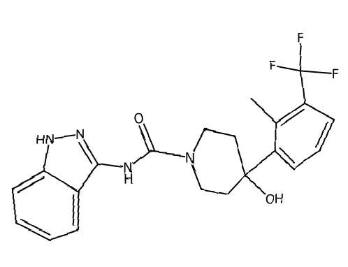 Cc1c(C(F)(F)F)cccc1C1(O)CCN(C(=O)Nc2n[nH]c3ccccc23)CC1